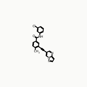 Cc1ccc(C(=O)Nc2cccc(Cl)c2)cc1C#Cc1cnc2ccnn2c1